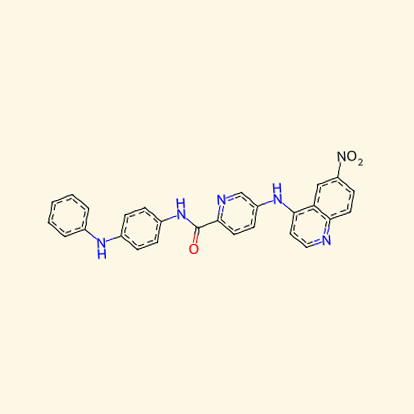 O=C(Nc1ccc(Nc2ccccc2)cc1)c1ccc(Nc2ccnc3ccc([N+](=O)[O-])cc23)cn1